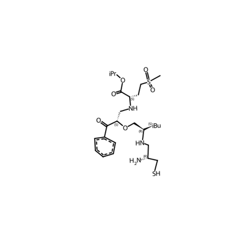 CC[C@H](C)[C@H](CO[C@@H](CN[C@@H](CCS(C)(=O)=O)C(=O)OC(C)C)C(=O)c1ccccc1)NC[C@@H](N)CS